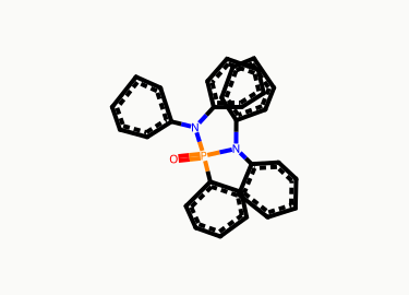 O=P(c1ccccc1)(N(c1ccccc1)c1ccccc1)N(c1ccccc1)c1ccccc1